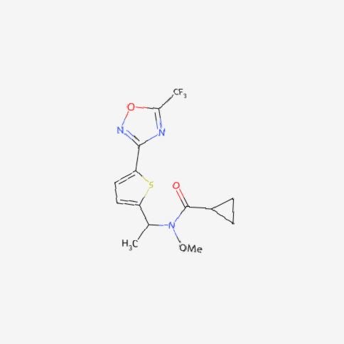 CON(C(=O)C1CC1)C(C)c1ccc(-c2noc(C(F)(F)F)n2)s1